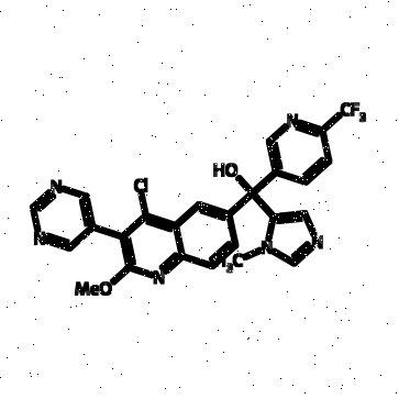 COc1nc2ccc(C(O)(c3ccc(C(F)(F)F)nc3)c3cncn3C)cc2c(Cl)c1-c1cncnc1